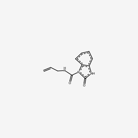 C=CCNC(=O)n1c(=O)[nH]c2ccccc21